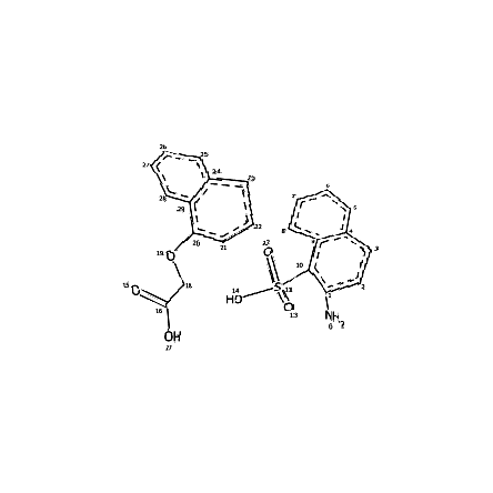 Nc1ccc2ccccc2c1S(=O)(=O)O.O=C(O)COc1cccc2ccccc12